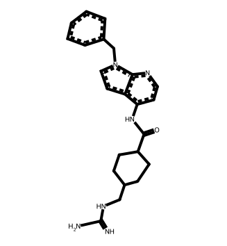 N=C(N)NCC1CCC(C(=O)Nc2ccnc3c2ccn3Cc2ccccc2)CC1